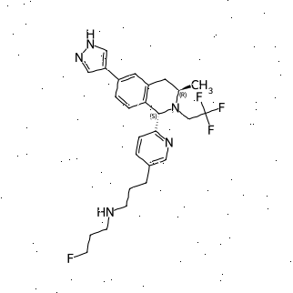 C[C@@H]1Cc2cc(-c3cn[nH]c3)ccc2[C@@H](c2ccc(CCCNCCCF)cn2)N1CC(F)(F)F